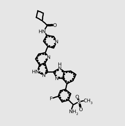 CS(=O)(=O)C(N)c1cc(F)cc(-c2cccc3[nH]c(-c4n[nH]c5ccc(-c6cncc(NC(=O)C7CCC7)c6)nc45)nc23)c1